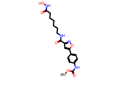 CC(C)(C)OC(=O)Nc1ccc(-c2cc(C(=O)NCCCCCCC(=O)NO)no2)cc1